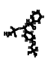 CC(C)(C)N.CC(NC(=O)c1ccncn1)c1ccc(OCC(F)(F)F)nc1